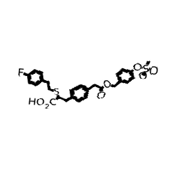 CS(=O)(=O)Oc1ccc(COC(=O)Cc2ccc(CC(SCCc3ccc(F)cc3)C(=O)O)cc2)cc1